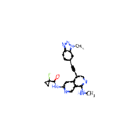 CNc1ncc(C#Cc2ccc3nnn(C)c3c2)c2cc(NC(=O)C3(F)CC3)ncc12